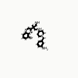 CC(C=N)(CNC1CCN(Cc2cccc(N)c2)CC1)c1cnc2cccc(Br)c2n1